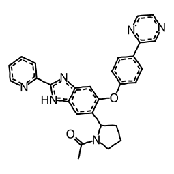 CC(=O)N1CCCC1c1cc2[nH]c(-c3ccccn3)nc2cc1Oc1ccc(-c2cnccn2)cc1